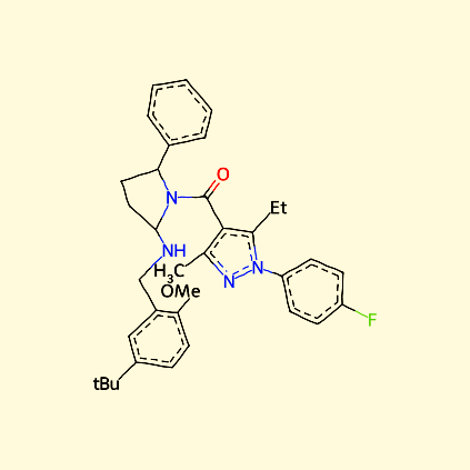 CCc1c(C(=O)N2C(NCc3cc(C(C)(C)C)ccc3OC)CCC2c2ccccc2)c(C)nn1-c1ccc(F)cc1